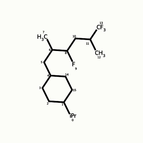 CC(C)C1CCC(CC(C)C(F)CC(C)C(F)(F)F)CC1